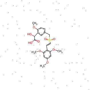 COc1cc(OC)c(C=CS(=O)(=O)Cc2ccc(OC)c(C(O)C(=O)O)c2)c(OC)c1